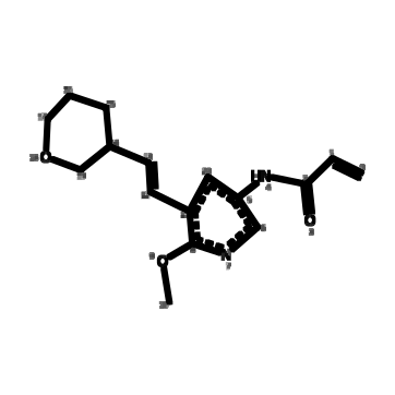 C=CC(=O)Nc1cnc(OC)c(/C=C/C2CCCOC2)c1